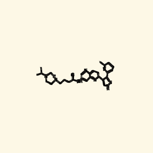 Cc1cccc(-c2n[nH]cc2-c2ccc3ncc(NC(=O)CCCN4CCN(C(C)C)CC4)cc3n2)n1